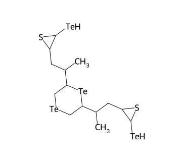 CC(CC1SC1[TeH])C1C[Te]CC(C(C)CC2SC2[TeH])[Te]1